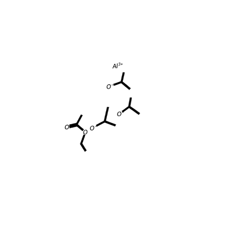 CC(C)[O-].CC(C)[O-].CC(C)[O-].CCOC(C)=O.[Al+3]